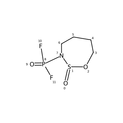 O=S1OCCCCN1P(=O)(F)F